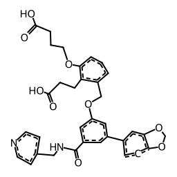 O=C(O)CCCOc1cccc(COc2cc(C(=O)NCc3ccncc3)cc(-c3ccc4c(c3)OCO4)c2)c1CCC(=O)O